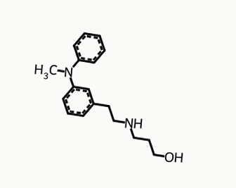 CN(c1ccccc1)c1cccc(CCNCCCO)c1